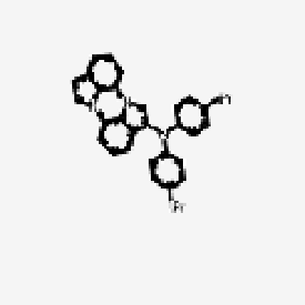 CC(C)c1ccc(N(c2ccc(C(C)C)cc2)c2cn3c4cccc5ccn(c6cccc2c63)c54)cc1